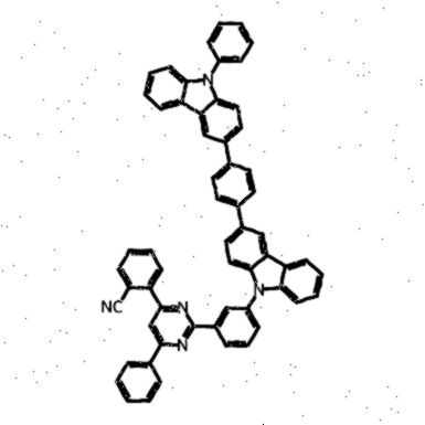 N#Cc1ccccc1-c1cc(-c2ccccc2)nc(-c2cccc(-n3c4ccccc4c4cc(-c5ccc(-c6ccc7c(c6)c6ccccc6n7-c6ccccc6)cc5)ccc43)c2)n1